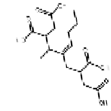 CCCC=C(CC(CC(=O)O)C(=O)O)C(C)C(CC(=O)O)C(=O)O